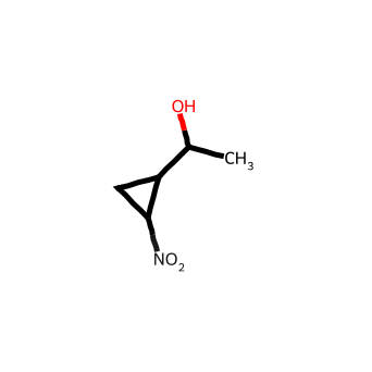 CC(O)C1CC1[N+](=O)[O-]